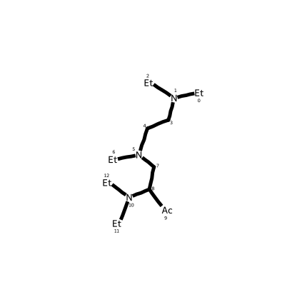 CCN(CC)CCN(CC)CC(C(C)=O)N(CC)CC